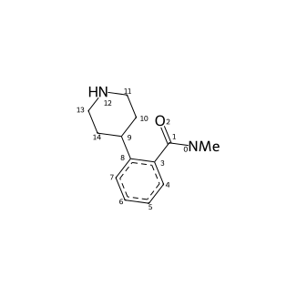 CNC(=O)c1ccccc1C1CCNCC1